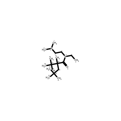 CCN(CCN(C)C)C(=O)C(C)(CC(C)(C)C)C(C)(C)C